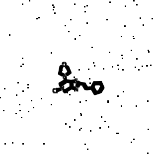 ClN1C=C(N2CCOCC2)c2sc(C=Cc3ccccc3)nc2C1